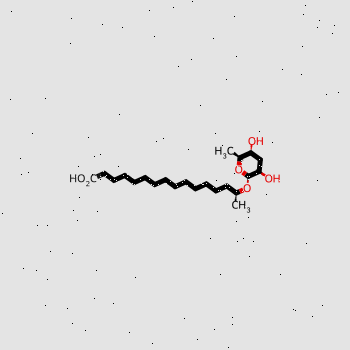 C[C@H](CCCCCCCCCCCCCC(=O)O)O[C@@H]1O[C@@H](C)[C@H](O)C[C@H]1O